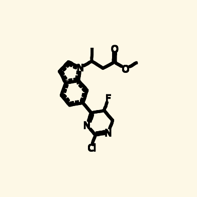 COC(=O)CC(C)n1ccc2ccc(C3=NC(Cl)=NCC3F)cc21